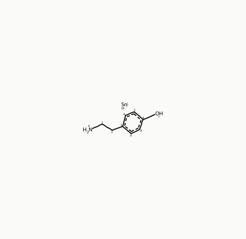 NCCc1ccc(O)cc1.[Sn]